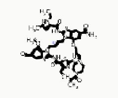 CCC(=O)N1CCN(CCCOc2cc(C(N)=O)cc3nc(NC(=O)c4cc(C)nn4CC)n(C/C=C/Cn4c(NC(=O)c5sc(C)nc5CC)nc5cc(C=O)cc(OC)c54)c23)CC1